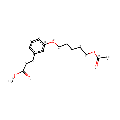 COC(=O)CCc1cccc(OCCCCCOC(C)=O)c1